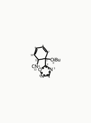 CC(C)COC1(c2ncno2)C=CC=CC1C#N